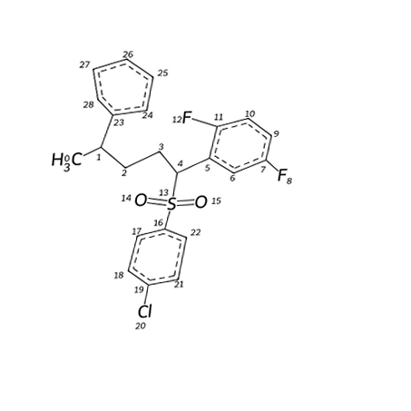 CC(CCC(c1cc(F)ccc1F)S(=O)(=O)c1ccc(Cl)cc1)c1ccccc1